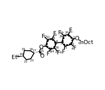 CCCCCCCCOc1c(F)c(F)c(-c2c(F)c(F)c(OC(=O)[C@H]3CC[C@H](CC)CC3)c(F)c2F)c(F)c1F